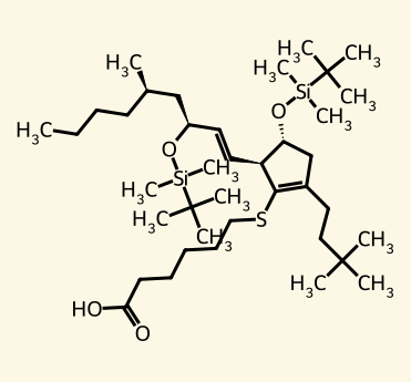 CCCC[C@@H](C)C[C@@H](C=C[C@@H]1C(SCCCCCC(=O)O)=C(CCC(C)(C)C)C[C@H]1O[Si](C)(C)C(C)(C)C)O[Si](C)(C)C(C)(C)C